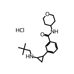 CC(C)(C)CNC1CC1c1cccc(C(=O)NC2CCOCC2)c1.Cl